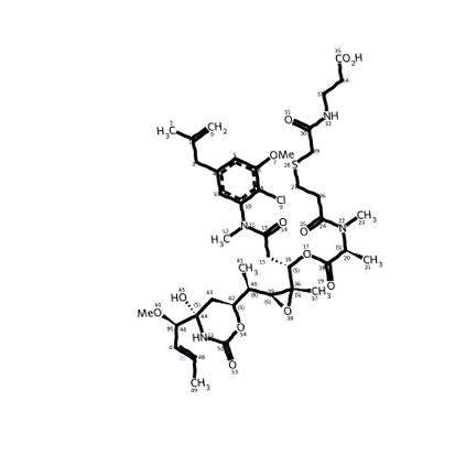 C=C(C)Cc1cc(OC)c(Cl)c(N(C)C(=O)C[C@H](OC(=O)[C@H](C)N(C)C(=O)CCSCC(=O)NCCC(=O)O)[C@]2(C)O[C@H]2[C@H](C)[C@@H]2C[C@](O)([C@@H](/C=C/C)OC)NC(=O)O2)c1